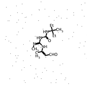 CCC(C)(CC)NC(=O)N/C(=N/C)N/C(C)=C\C=O